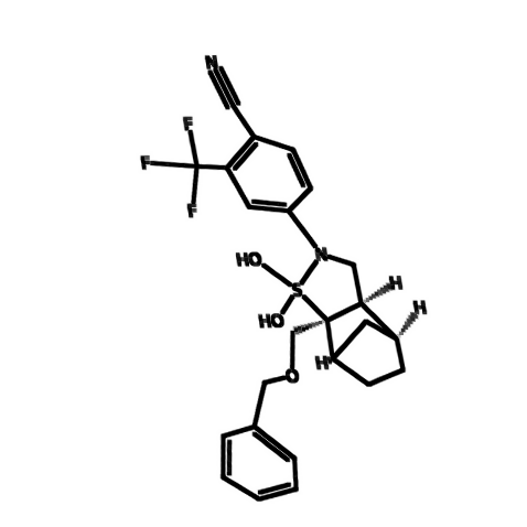 N#Cc1ccc(N2C[C@H]3[C@H]4CC[C@H](C4)[C@@]3(COCc3ccccc3)S2(O)O)cc1C(F)(F)F